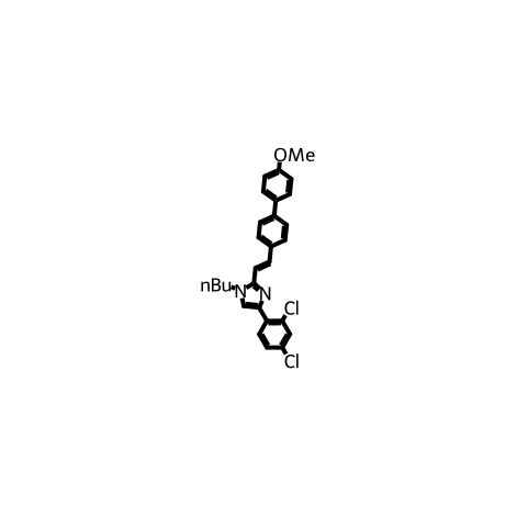 CCCCn1cc(-c2ccc(Cl)cc2Cl)nc1C=Cc1ccc(-c2ccc(OC)cc2)cc1